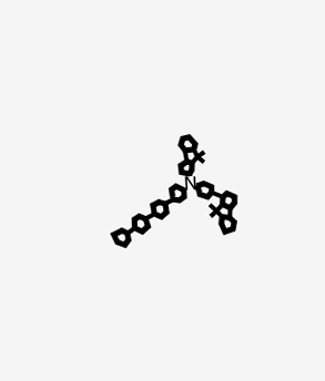 CC1(C)c2ccccc2-c2ccc(N(c3ccc(-c4ccc(-c5ccc(-c6ccccc6)cc5)cc4)cc3)c3ccc(-c4cccc5c4C(C)(C)c4ccccc4-5)cc3)cc21